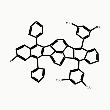 CC(C)(C)c1cc(-c2c3c(c(-c4cc(C(C)(C)C)cc(C(C)(C)C)c4)c4ccccc24)-c2ccc4c5c(ccc-3c25)-c2c-4c(-c3ccccc3)c3cc(Br)ccc3c2-c2ccccc2)cc(C(C)(C)C)c1